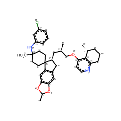 CC1Oc2cc3c(cc2O1)C1(CCC(Nc2cccc(Cl)c2)(C(=O)O)CC1)[C@@H](C[C@@H](C)COc1ccnc2c1[C@H](C)CCC2)C3